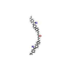 CCC[C@H]1CC[C@H](C(C#N)CC2CCC(c3ccc(CCCCC(=O)CCCCc4ccc(C5CCC(CC(C#N)[C@H]6CC[C@H](CCC)CC6)CC5)cc4)cc3)CC2)CC1